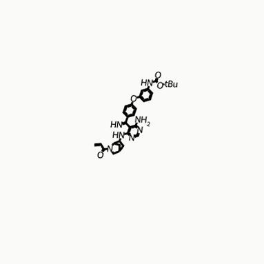 C=CC(=O)N1CC2CC(Nc3ncnc(N)c3C(=N)c3ccc(Oc4cccc(NC(=O)OC(C)(C)C)c4)cc3)C1C2